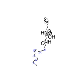 CC/C=C\C/C=C\C/C=C\C/C=C\C/C=C\C/C=C\CCC(=O)NCCC[C@H](NC(=O)CCCC[C@@H]1CCSS1)C(=O)O